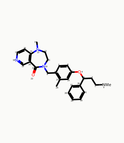 CNCCC(Oc1ccc(CN2CCN(C)c3ccncc3C2=O)c(C)c1)c1ccccc1